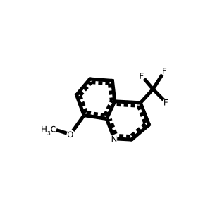 COc1cccc2c(C(F)(F)F)ccnc12